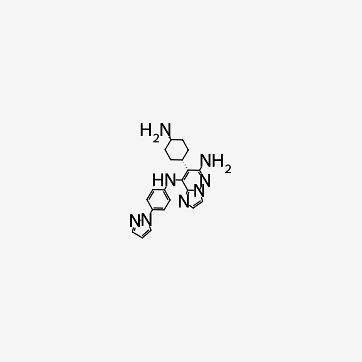 Nc1nn2ccnc2c(Nc2ccc(-n3cccn3)cc2)c1[C@H]1CC[C@H](N)CC1